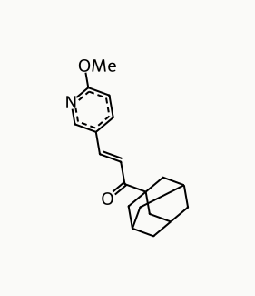 COc1ccc(C=CC(=O)C23CC4CC(CC(C4)C2)C3)cn1